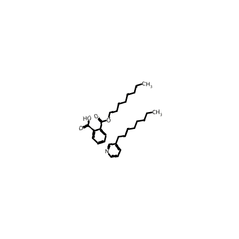 CCCCCCCCOC(=O)c1ccccc1C(=O)O.CCCCCCCCc1cccnc1